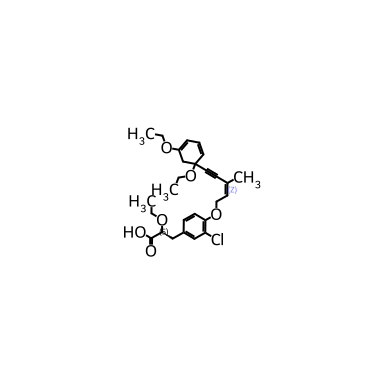 CCOC1=CC=CC(C#C/C(C)=C\COc2ccc(C[C@H](OCC)C(=O)O)cc2Cl)(OCC)C1